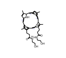 CC1=C/C2=C/c3[nH]c(c(CCC(=O)NCCO)c3C)/C=C3\NC(/C=c4\[nH]/c(cc4C)=C\C1N2)C(C)=C3CCC(=O)NCCO